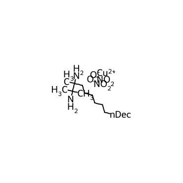 CCCCCCCCCCCCCCCCC(C)(N)C(C)(C)N.O=[N+]([O-])[O-].O=[N+]([O-])[O-].[Cu+2]